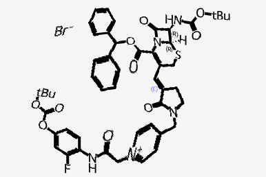 CC(C)(C)OC(=O)N[C@@H]1C(=O)N2C(C(=O)OC(c3ccccc3)c3ccccc3)=C(/C=C3\CCN(Cc4cc[n+](CC(=O)Nc5ccc(OC(=O)OC(C)(C)C)cc5F)cc4)C3=O)CS[C@H]12.[Br-]